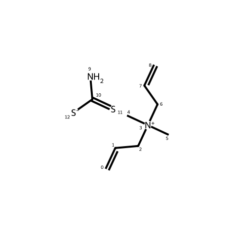 C=CC[N+](C)(C)CC=C.NC(=S)[S-]